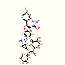 CNC(=O)c1c(-c2ccc(F)cc2)oc2cc(N)c(-c3cc(C(=O)N(c4ccccc4)C4CC4)ccc3C)cc12